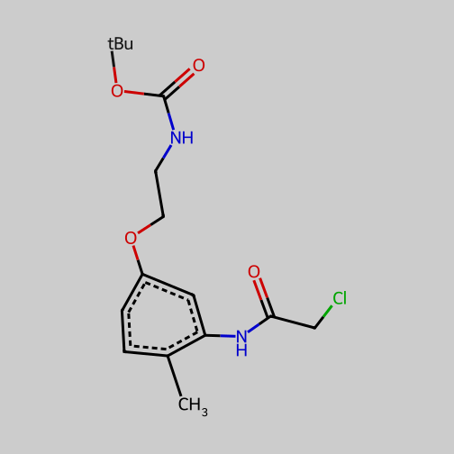 Cc1ccc(OCCNC(=O)OC(C)(C)C)cc1NC(=O)CCl